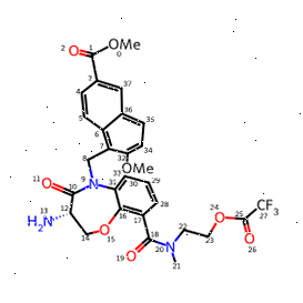 COC(=O)c1ccc2c(CN3C(=O)[C@@H](N)COc4c(C(=O)N(C)CCOC(=O)C(F)(F)F)cccc43)c(OC)ccc2c1